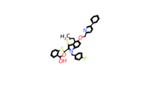 CC1Cc2c(OCc3ccc(-c4ccccc4)cn3)ccc3c2c(c(CSc2ccccc2C(=O)O)n3Cc2ccc(F)cc2)S1